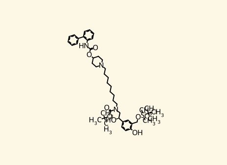 CC(C)(C)OC(=O)N(CCCCCCCCCN1CCC(OC(=O)Nc2ccccc2-c2ccccc2)CC1)C[C@H](O)c1ccc(O)c(CO[Si](C)(C)C(C)(C)C)c1